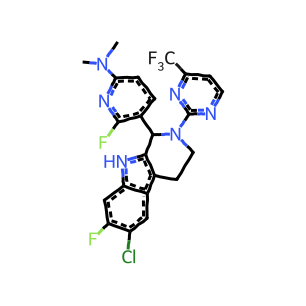 CN(C)c1ccc(C2c3[nH]c4cc(F)c(Cl)cc4c3CCN2c2nccc(C(F)(F)F)n2)c(F)n1